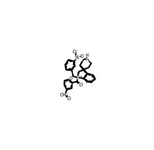 O=C(c1cccc([N+](=O)[O-])c1)[N+]1(C(=O)c2cccc([N+](=O)[O-])c2)CC2(CCNCC2)c2ccccc21